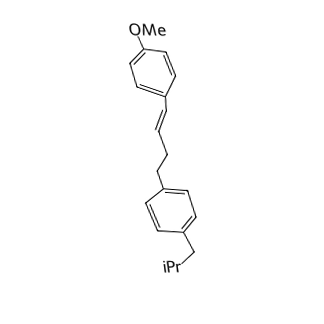 COc1ccc(C=CCCc2ccc(CC(C)C)cc2)cc1